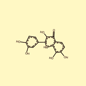 O=c1c(O)c(-c2ccc(O)c(O)c2)[nH]c2c(O)c(O)ccc12